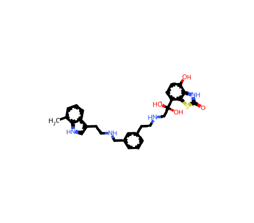 Cc1cccc2c(CCNCc3cccc(CCNCC(O)(O)c4ccc(O)c5[nH]c(=O)sc45)c3)c[nH]c12